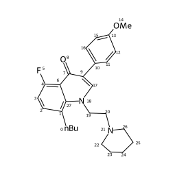 CCCCc1ccc(F)c2c(=O)c(-c3ccc(OC)cc3)cn(CCN3CCCCC3)c12